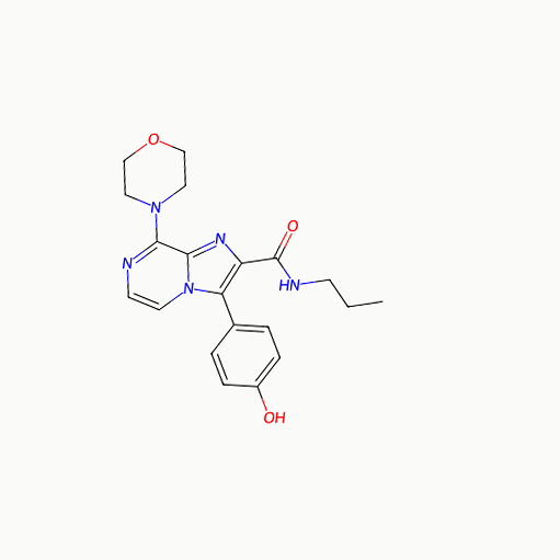 CCCNC(=O)c1nc2c(N3CCOCC3)nccn2c1-c1ccc(O)cc1